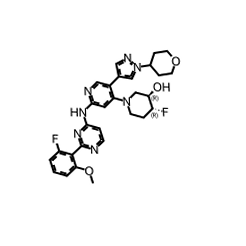 COc1cccc(F)c1-c1nccc(Nc2cc(N3CC[C@@H](F)[C@H](O)C3)c(-c3cnn(C4CCOCC4)c3)cn2)n1